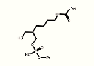 CSC(=O)NCCCCC(CO)COP(=O)(O)OC(C)C